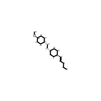 CCCC=C[C@H]1CC[C@H](CC[C@H]2CC[C@H](OC)CC2)CC1